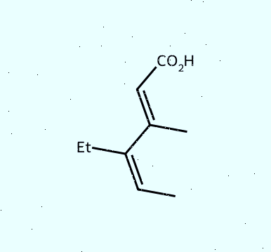 CC=C(CC)C(C)=CC(=O)O